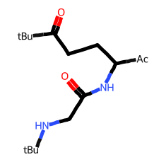 CC(=O)C(CCC(=O)C(C)(C)C)NC(=O)CNC(C)(C)C